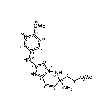 COCCC1(N)C=Cc2nc(Nc3ccc(OC)nc3)cn2N1